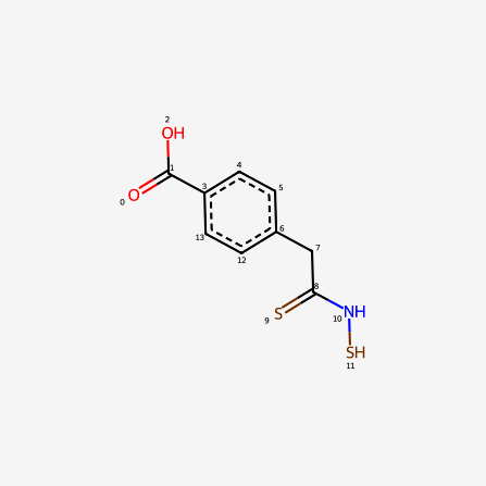 O=C(O)c1ccc(CC(=S)NS)cc1